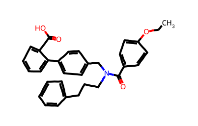 CCOc1ccc(C(=O)N(CCCc2ccccc2)Cc2ccc(-c3ccccc3C(=O)O)cc2)cc1